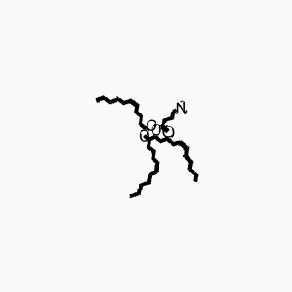 CCCCC/C=C\CCCC(=O)OC(CCC/C=C\CCCCC)C(CCC/C=C\CCCCC)OC(=O)CCCN(C)C